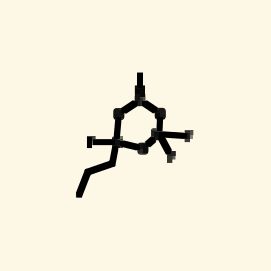 CCC[Si]1(F)O[SiH](C)O[Si](F)(F)O1